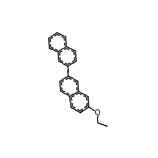 CCOc1ccc2ccc(-c3ccc4ccccc4c3)cc2c1